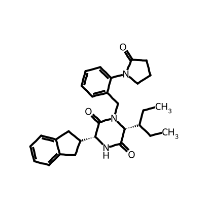 CCC(CC)[C@@H]1C(=O)N[C@H](C2Cc3ccccc3C2)C(=O)N1Cc1ccccc1N1CCCC1=O